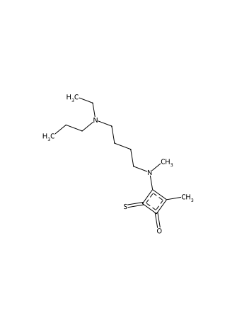 CCCN(CC)CCCCN(C)c1c(C)c(=O)c1=S